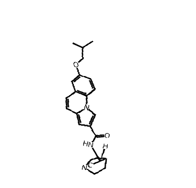 CC(C)COc1ccc2c(ccc3cc(C(=O)N[C@H]4CN5CCC4CC5)cn32)c1